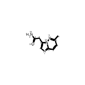 Cc1ccc2ncc(CC(N)=O)n2n1